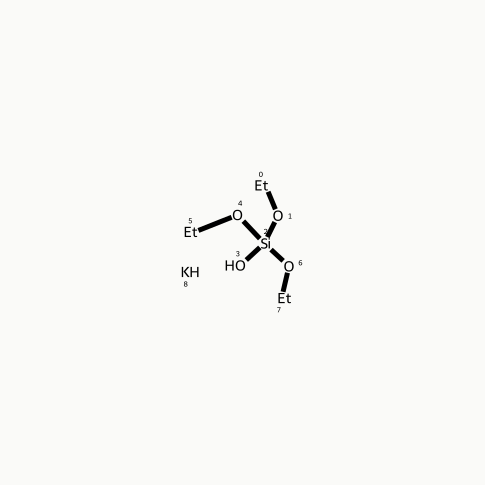 CCO[Si](O)(OCC)OCC.[KH]